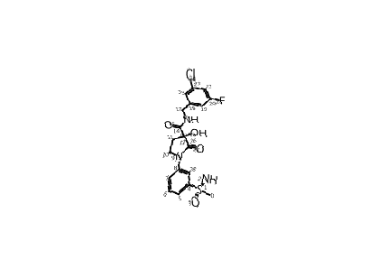 CS(=N)(=O)c1cccc(N2CC[C@](O)(C(=O)NCc3cc(F)cc(Cl)c3)C2=O)c1